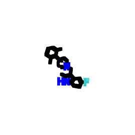 Cc1cccc(C)c1C1CCN(Cc2c(C)[nH]c3ccc(F)cc23)CC1